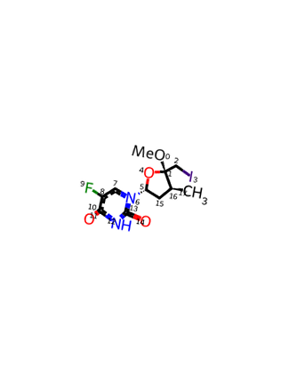 CO[C@]1(CI)O[C@@H](n2cc(F)c(=O)[nH]c2=O)C[C@@H]1C